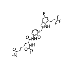 COC(=O)N[C@@H](CC/C=C/C(=O)N(C)C)C(=O)Nc1cccn(Cc2cc3cc(F)cc(CCC(F)(F)F)c3[nH]2)c1=O